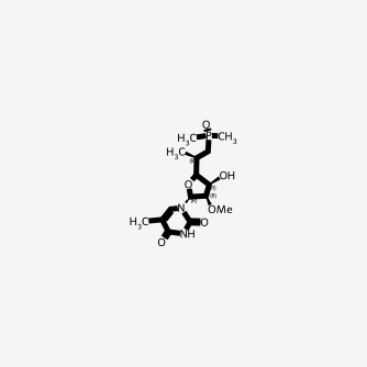 CO[C@@H]1[C@H](O)C([C@@H](C)CP(C)(C)=O)O[C@H]1n1cc(C)c(=O)[nH]c1=O